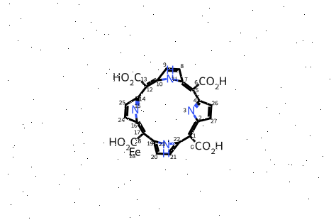 O=C(O)c1c2nc(c(C(=O)O)c3ccc([nH]3)c(C(=O)O)c3nc(c(C(=O)O)c4ccc1[nH]4)C=C3)C=C2.[Fe]